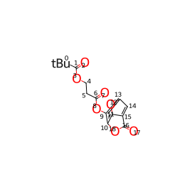 CC(C)(C)C(=O)OCCC(=O)Oc1c2c3oc1cc3C(=O)O2